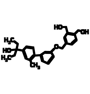 CCC(O)(CC)c1ccc(-c2cccc(OCc3ccc(CO)c(CO)c3)c2)c(C)c1